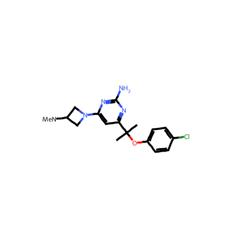 CNC1CN(c2cc(C(C)(C)Oc3ccc(Cl)cc3)nc(N)n2)C1